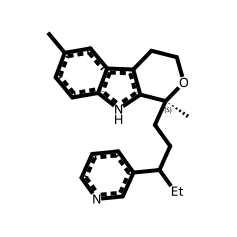 CCC(CC[C@]1(C)OCCc2c1[nH]c1ccc(C)cc21)c1cccnc1